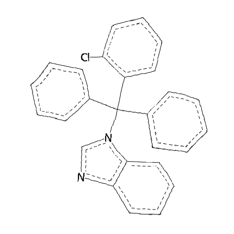 Clc1ccccc1C(c1ccccc1)(c1ccccc1)n1cnc2ccccc21